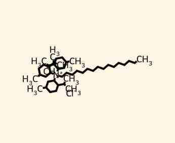 CCCCCCCCCCCCCCCC[N+](C1CC(C)CCC1C(C)C)(C1CC(C)CCC1C(C)C)C1CC(C)CCC1C(C)C.[Cl-]